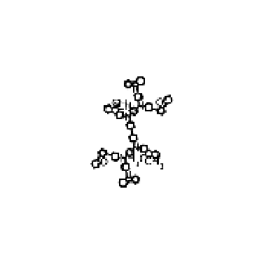 CC1(C)c2ccccc2-c2ccc(N(c3ccc(-c4ccc(N(c5ccc(N(c6ccc(-c7cccc8c7oc7ccccc78)cc6)c6ccc(-n7c8ccccc8c8ccccc87)cc6)cc5)c5ccc6c(c5)C(C)(C)c5ccccc5-6)cc4)cc3)c3ccc(N(c4ccc(-c5cccc6c5oc5ccccc56)cc4)c4ccc(-n5c6ccccc6c6ccccc65)cc4)cc3)cc21